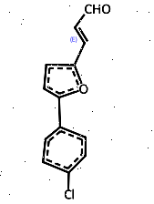 O=C/C=C/c1ccc(-c2ccc(Cl)cc2)o1